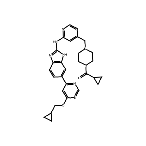 O=C(C1CC1)N1CCN(Cc2ccnc(Nc3nc4ccc(-c5cc(OCC6CC6)ncn5)cc4[nH]3)c2)CC1